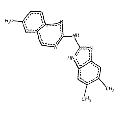 Cc1ccc2nc(Nc3nc4cc(C)c(C)cc4[nH]3)ncc2c1